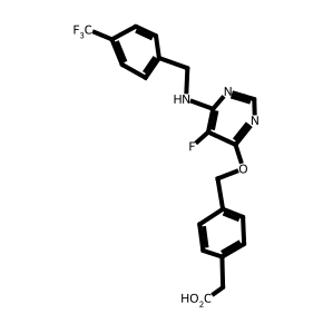 O=C(O)Cc1ccc(COc2ncnc(NCc3ccc(C(F)(F)F)cc3)c2F)cc1